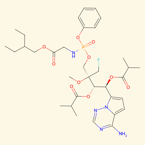 CCC(CC)COC(=O)CN[P@](=O)(OC[C@@](CF)(OC)[C@@H](OC(=O)C(C)C)[C@@H](OC(=O)C(C)C)c1ccc2c(N)ncnn12)Oc1ccccc1